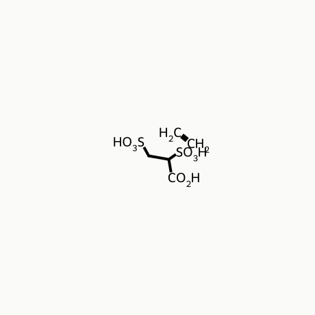 C=C.O=C(O)C(CS(=O)(=O)O)S(=O)(=O)O